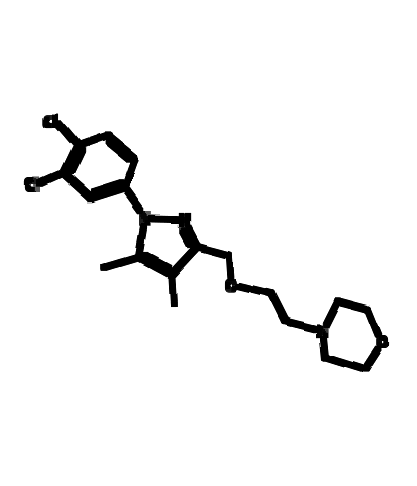 Cc1c(COCCN2CCOCC2)nn(-c2ccc(Cl)c(Cl)c2)c1C